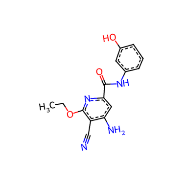 CCOc1nc(C(=O)Nc2cccc(O)c2)cc(N)c1C#N